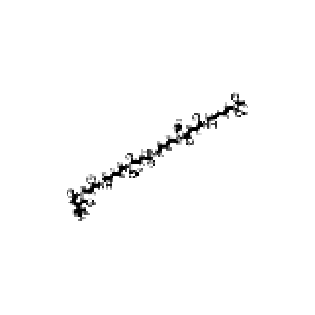 CON(CCCCCNC(=O)CCC(=O)N(CCCCCNC(=O)CCC(=O)N(CCCCCNC(=O)CCN1C(=O)CC(C(C)(C)C)C1=O)OC)OC)C(C)=O